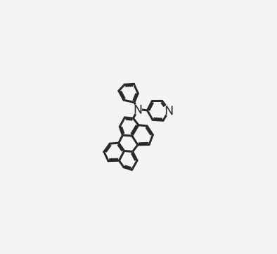 c1ccc(N(c2ccncc2)c2ccc3c4cccc5cccc(c6cccc2c63)c54)cc1